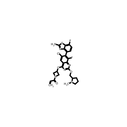 C=CC(=O)N1CC(Oc2nc(OCC3CCCN3C)nc3c(F)c(-c4ccc(F)c5sc(N)nc45)c(Cl)cc23)C1